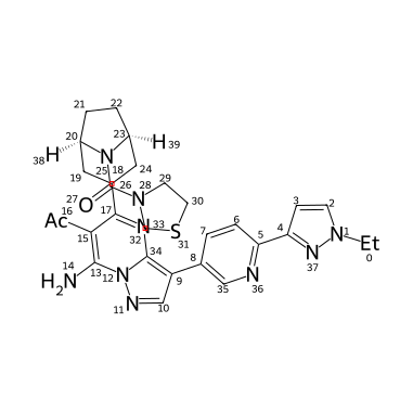 CCn1ccc(-c2ccc(-c3cnn4c(N)c(C(C)=O)c(C5C[C@H]6CC[C@@H](C5)N6C(=O)N5CCSC5)nc34)cn2)n1